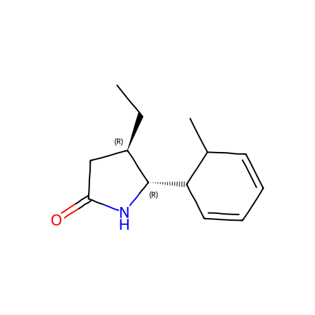 CC[C@@H]1CC(=O)N[C@H]1C1C=CC=CC1C